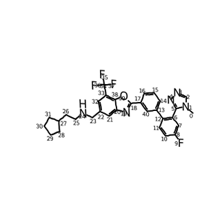 Cn1cnnc1-c1cc(F)ccc1-c1cccc(-c2nc3cc(CNCCC4CCCC4)cc(C(F)(F)F)c3o2)c1